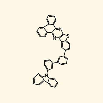 c1cc(-c2cccc(-n3c4ccccc4c4ccccc43)c2)cc(-c2ccc3sc4nc5c6ccccc6c6ccccc6c5nc4c3c2)c1